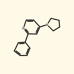 c1ccc(-c2cc(N3CCCC3)ccn2)cc1